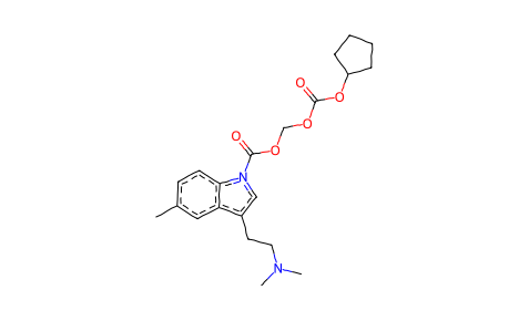 Cc1ccc2c(c1)c(CCN(C)C)cn2C(=O)OCOC(=O)OC1CCCC1